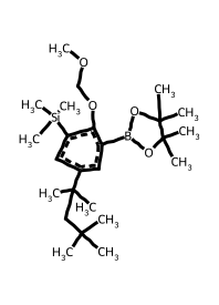 COCOc1c(B2OC(C)(C)C(C)(C)O2)cc(C(C)(C)CC(C)(C)C)cc1[Si](C)(C)C